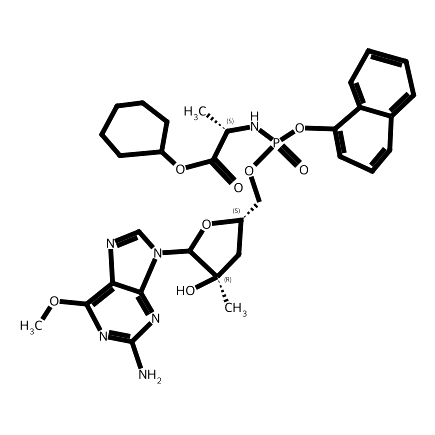 COc1nc(N)nc2c1ncn2C1O[C@H](COP(=O)(N[C@@H](C)C(=O)OC2CCCCC2)Oc2cccc3ccccc23)C[C@@]1(C)O